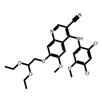 CCOC(COc1cc2ncc(C#N)c(Nc3cc(OC)c(Cl)cc3Cl)c2cc1OC)OCC